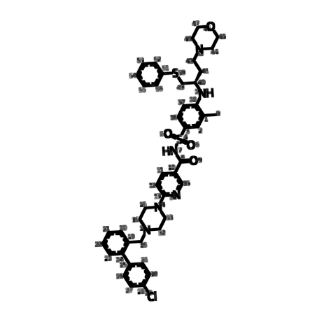 Cc1cc(S(=O)(=O)NC(=O)c2ccc(N3CCN(Cc4ccccc4-c4ccc(Cl)cc4)CC3)nc2)ccc1N[C@H](CCN1CCOCC1)CSc1ccccc1